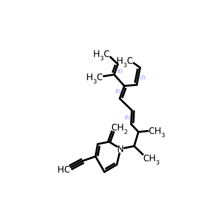 C#CC1=CC(=C)N(C(C)C(C)/C=C/C=C(\C=C/C)C(/C)=C/C)C=C1